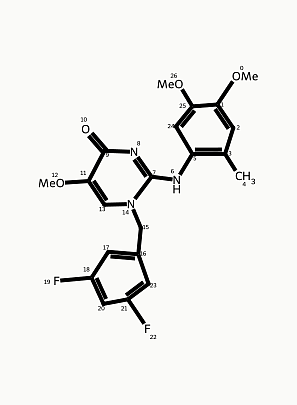 COc1cc(C)c(Nc2nc(=O)c(OC)cn2Cc2cc(F)cc(F)c2)cc1OC